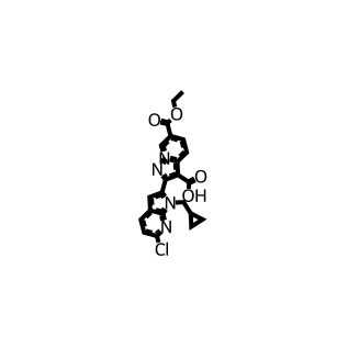 CCOC(=O)c1ccc2c(C(=O)O)c(-c3cc4ccc(Cl)nc4n3CC3CC3)nn2c1